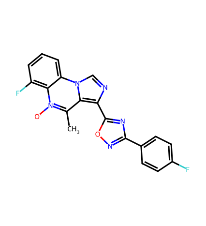 Cc1c2c(-c3nc(-c4ccc(F)cc4)no3)ncn2c2cccc(F)c2[n+]1[O-]